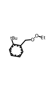 CCOOCc1ccccc1C(C)(C)C